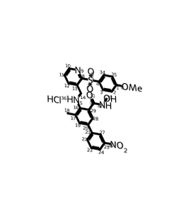 COc1ccc(S(=O)(=O)c2ncccc2CNc2c(C)cc(-c3cccc([N+](=O)[O-])c3)cc2C(=O)NO)cc1.Cl